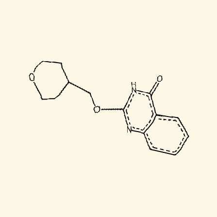 O=c1[nH]c(OCC2CCOCC2)nc2ccccc12